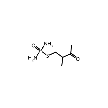 CC(=O)C(C)CSP(N)(N)=O